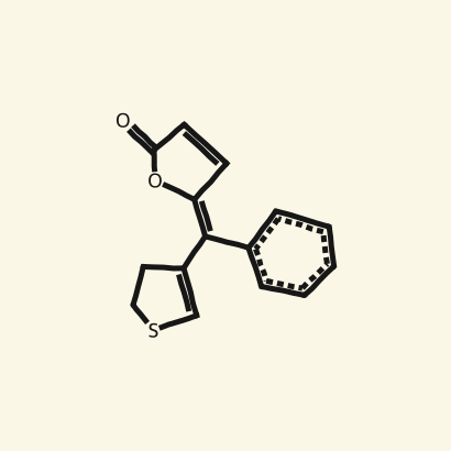 O=C1C=C/C(=C(/C2=CSCC2)c2ccccc2)O1